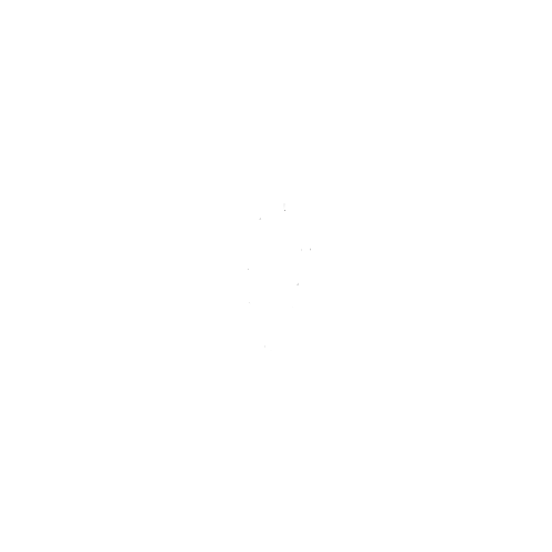 c1ccc(CC2OCCCCO2)cc1